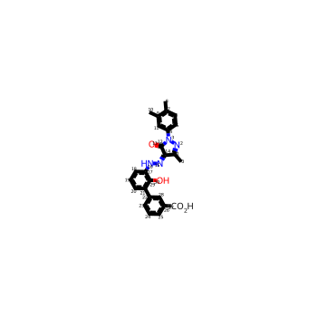 CC1=NN(c2ccc(C)c(C)c2)C(=O)C1=NNc1cccc(-c2cccc(C(=O)O)c2)c1O